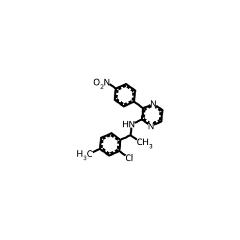 Cc1ccc(C(C)Nc2nccnc2-c2ccc([N+](=O)[O-])cc2)c(Cl)c1